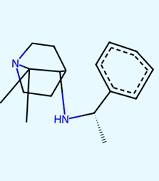 C[C@H](NC1C2CCN(CC2)C1(C)C)c1ccccc1